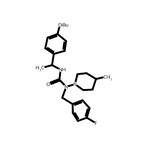 CC(C)COc1ccc(C(C)NC(=O)N(Cc2ccc(F)cc2)N2CCC(C)CC2)cc1